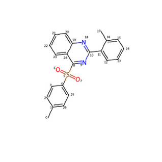 Cc1ccc(S(=O)(=O)c2nc(-c3ccccc3C)nc3ccccc23)cc1